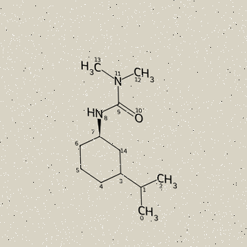 CC(C)C1CCC[C@@H](NC(=O)N(C)C)C1